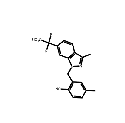 Cc1ccc(C#N)c(Cn2nc(C)c3ccc(C(F)(F)C(=O)O)cc32)c1